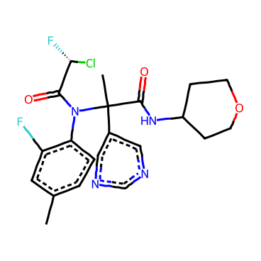 Cc1ccc(N(C(=O)[C@H](F)Cl)C(C)(C(=O)NC2CCOCC2)c2cncnc2)c(F)c1